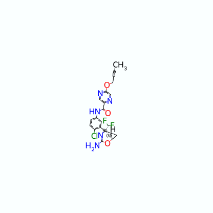 CC#CCOc1cnc(C(=O)Nc2ccc(Cl)c([C@]3(C(F)F)N=C(N)OC4C[C@H]43)c2)cn1